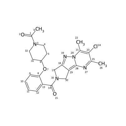 CC(=O)N1CCC(Oc2ccccc2C(=O)N2Cc3nn4c(C)c(Cl)c(C)nc4c3C2)CC1